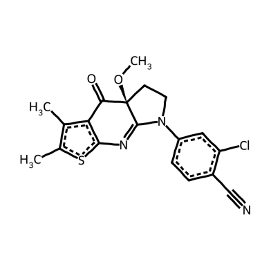 CO[C@@]12CCN(c3ccc(C#N)c(Cl)c3)C1=Nc1sc(C)c(C)c1C2=O